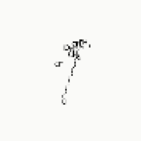 CCCCCCCCCCCC(CC)[N+](C)(C)O.[Cl-]